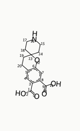 O=C(O)c1cc2c(cc1C(=O)O)OC1(CCNCC1)CC2